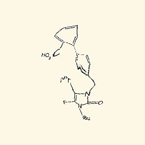 CCCc1c(F)n(C(C)CC)c(=O)n1Cc1ccc(-c2ccccc2C(=O)O)cc1